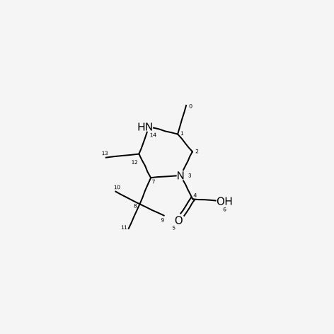 CC1CN(C(=O)O)C(C(C)(C)C)C(C)N1